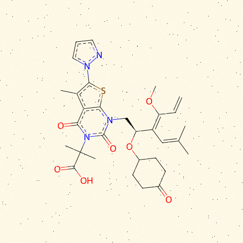 C=C/C(OC)=C(\C=C(C)C)[C@H](Cn1c(=O)n(C(C)(C)C(=O)O)c(=O)c2c(C)c(-n3cccn3)sc21)OC1CCC(=O)CC1